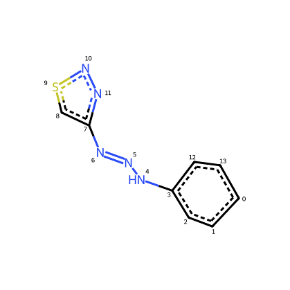 c1ccc(NN=Nc2csnn2)cc1